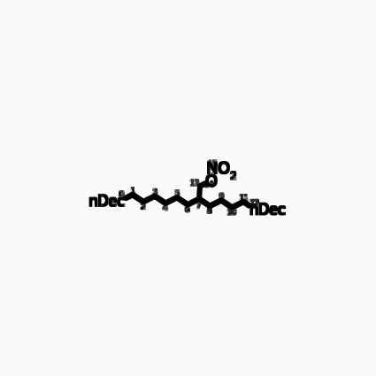 CCCCCCCCCCCCCCCCC(CCCCCCCCCCCCCC)CO[N+](=O)[O-]